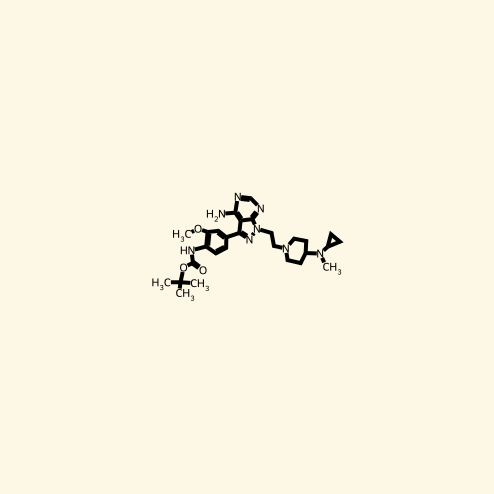 COc1cc(-c2nn(CCN3CCC(N(C)C4CC4)CC3)c3ncnc(N)c23)ccc1NC(=O)OC(C)(C)C